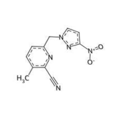 Cc1ccc(Cn2ccc([N+](=O)[O-])n2)nc1C#N